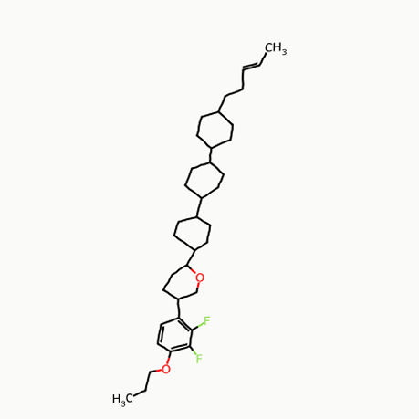 C/C=C/CCC1CCC(C2CCC(C3CCC(C4CCC(c5ccc(OCCC)c(F)c5F)CO4)CC3)CC2)CC1